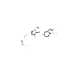 Cc1cc2c(F)c(Oc3ncnn4cc(OC[C@@H](C)OC(=O)C(C)N)c(C)c34)ccc2[nH]1